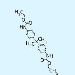 CCOC(=O)Nc1ccc(C(C)(C)c2ccc(NC(=O)OCC)cc2)cc1